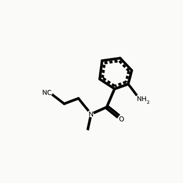 CN(CCC#N)C(=O)c1ccccc1N